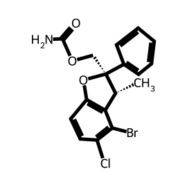 C[C@@H]1c2c(ccc(Cl)c2Br)O[C@@]1(COC(N)=O)c1ccccc1